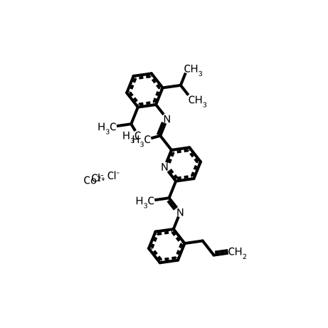 C=CCc1ccccc1/N=C(\C)c1cccc(/C(C)=N/c2c(C(C)C)cccc2C(C)C)n1.[Cl-].[Cl-].[Co+2]